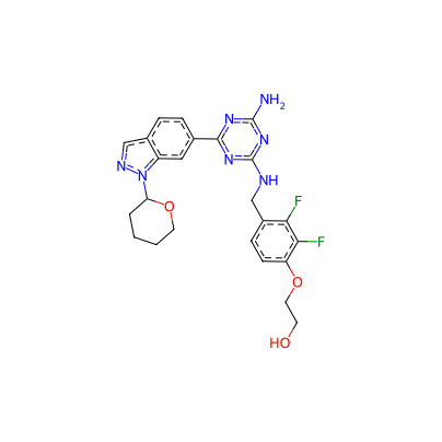 Nc1nc(NCc2ccc(OCCO)c(F)c2F)nc(-c2ccc3cnn(C4CCCCO4)c3c2)n1